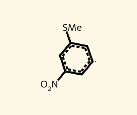 CSc1c[c]cc([N+](=O)[O-])c1